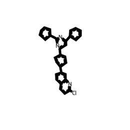 Clc1ccc2ccc(-c3ccc(-c4cc(-c5ccccc5)nc(-c5ccccc5)n4)cc3)cc2n1